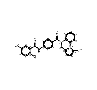 O=C(Nc1ccc(C(=O)N2Cc3ccc(Cl)n3-c3ccccc32)cc1)c1cc(Cl)ccc1Cl